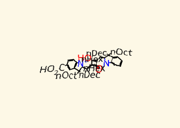 CCCCCCCCCCC1(CCCCCCCC)C(/C=C2/C(=O)C(/C=C3\N(CCCCCC)c4ccccc4C3(CCCCCCCC)CCCCCCCCCC)=C2O)=[N+](CCCCCC)c2ccc(C(=O)O)cc21